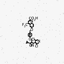 O=C(O)c1cc(C(F)(F)F)c2cc(OCC34CCC(OCc5c(-c6c(Cl)cncc6Cl)noc5C5CC5)(CC3)CC4)ccc2n1